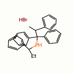 Br.CCC(PC(c1ccccc1)(c1ccccc1)C(C)c1ccccc1)c1ccccc1